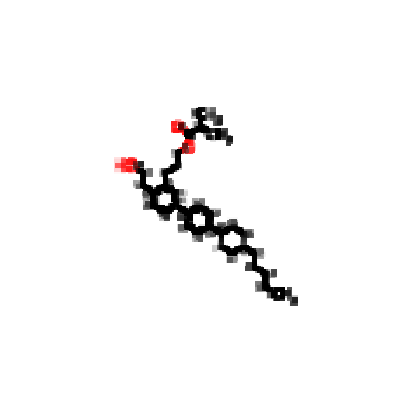 C=C(C)C(=O)OCCCc1cc(-c2ccc(C3CCC(CCCCC)CC3)cc2)ccc1CCO